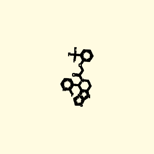 O=C(COc1ccccc1C(F)(F)F)N1CCc2nc3sccn3c2C1c1cccnc1F